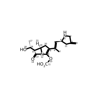 C=C1CN[C@H](C=C(C)C2=C(OC(=O)O)N3C(=O)[C@H]([C@@H](C)O)[C@H]3C2)C1